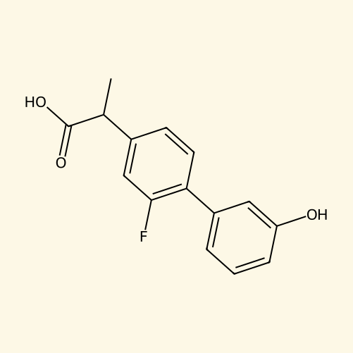 CC(C(=O)O)c1ccc(-c2cccc(O)c2)c(F)c1